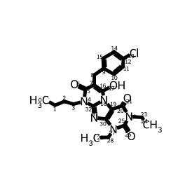 CCCCn1c(=O)c(Cc2ccc(Cl)cc2)c(O)n2c3c(=O)n(CC)c(=O)n(CC)c3nc12